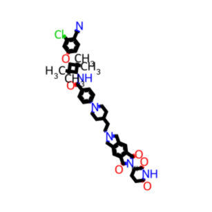 CC1(C)[C@H](NC(=O)c2ccc(N3CCC(CCN4Cc5cc6c(cc5C4)C(=O)N([C@H]4CCC(=O)NC4=O)C6=O)CC3)cc2)C(C)(C)[C@H]1Oc1ccc(C#N)c(Cl)c1